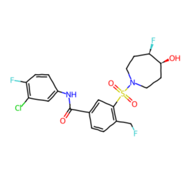 O=C(Nc1ccc(F)c(Cl)c1)c1ccc(CF)c(S(=O)(=O)N2CC[C@@H](F)[C@@H](O)CC2)c1